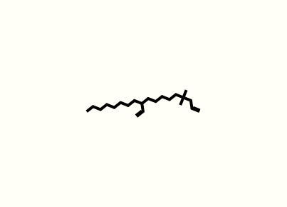 C=CCC(C)(C)CCCCCC(C=C)CCCCCCCC